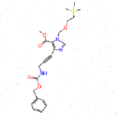 COC(=O)c1c(C#CCNC(=O)OCc2ccccc2)ncn1COCCS(C)(C)C